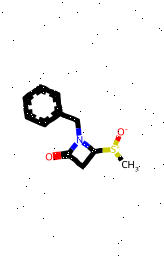 C[S+]([O-])C1CC(=O)N1Cc1ccccc1